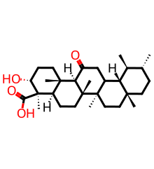 C[C@H]1[C@H](C)CC[C@]2(C)CC[C@]3(C)C(CC(=O)[C@@H]4[C@@]5(C)CC[C@@H](O)[C@](C)(C(=O)O)[C@@H]5CC[C@]43C)[C@H]12